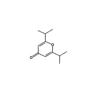 CC(C)c1cc(=O)cc(C(C)C)o1